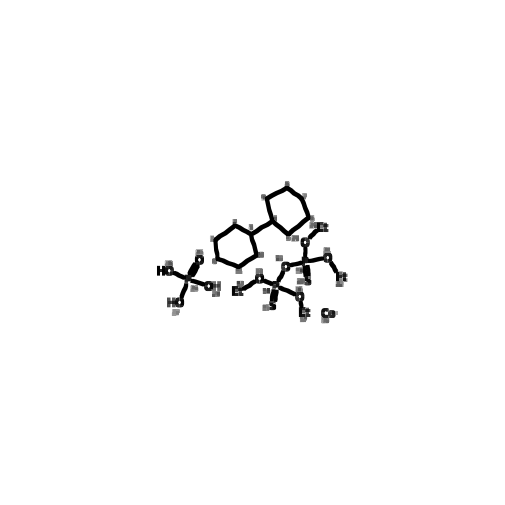 C1CCC(C2CCCCC2)CC1.CCOP(=S)(OCC)OP(=S)(OCC)OCC.O=P(O)(O)O.[Co]